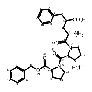 Cl.N[C@@H](CC(Cc1ccccc1)C(=O)O)C(=O)N1CCC[C@H]1C(=O)N1CCC[C@H]1C(=O)OCc1ccccc1